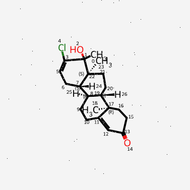 CC1(O)C(Cl)=CC[C@H]2[C@@H]3CCC4=CC(=O)CC[C@]4(C)[C@H]3CC[C@@]21C